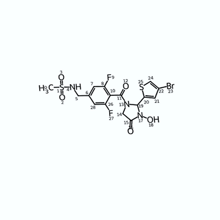 CS(=O)(=O)NCc1cc(F)c(C(=O)N2CC(=O)N(O)C2c2cc(Br)cs2)c(F)c1